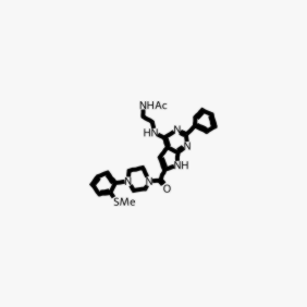 CSc1ccccc1N1CCN(C(=O)c2cc3c(NCCNC(C)=O)nc(-c4ccccc4)nc3[nH]2)CC1